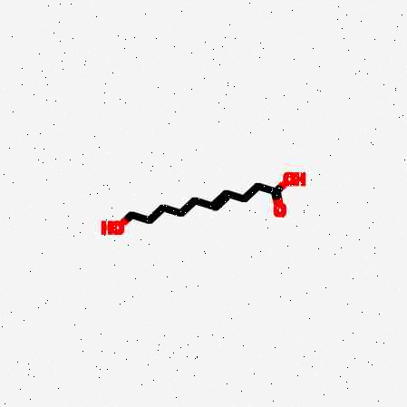 O=C(O)CCC=CCCCCCO